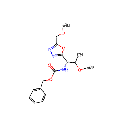 CCCCOCc1nnc([C@@H](NC(=O)OCc2ccccc2)C(C)OCCCC)o1